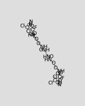 CN(C)[C@H]1Cc2c(Cl)cc(Cl)c3c2[C@@H]1Oc1c(F)cc(S(=O)(=O)NCCOCCOCCNC(=O)NCCCCNC(=O)NCCOCCOCCNS(=O)(=O)c2cc(F)c4c(c2)-c2c(Cl)cc(Cl)c5c2[C@H](O4)[C@@H](N(C)C)C5)cc1-3